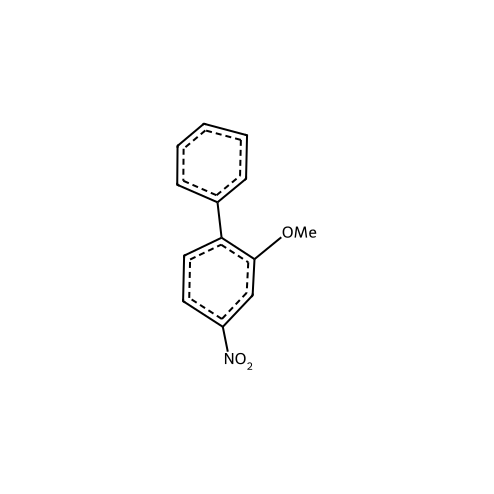 COc1cc([N+](=O)[O-])ccc1-c1ccccc1